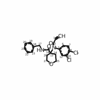 C#CC(=O)N(c1ccc(Cl)c(Cl)c1)C1(C(=O)NCc2ccccc2)CCOCC1